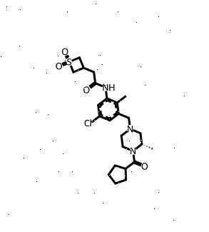 Cc1c(CN2CCN(C(=O)C3CCCC3)[C@@H](C)C2)cc(Cl)cc1NC(=O)CC1CS(=O)(=O)C1